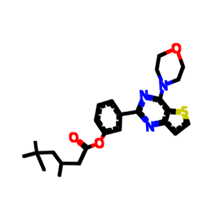 CC(CC(=O)Oc1cccc(-c2nc(N3CCOCC3)c3sccc3n2)c1)CC(C)(C)C